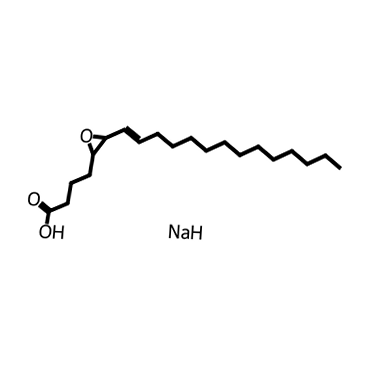 CCCCCCCCCCCCC=CC1OC1CCCC(=O)O.[NaH]